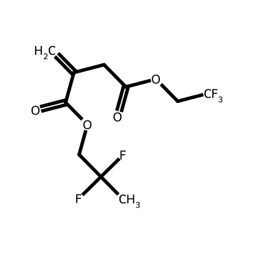 C=C(CC(=O)OCC(F)(F)F)C(=O)OCC(C)(F)F